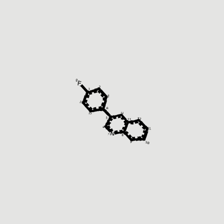 Fc1ccc(-c2cnc3cc[c]cc3c2)cc1